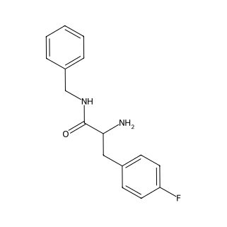 NC(Cc1ccc(F)cc1)C(=O)NCc1ccccc1